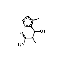 CC(C(N)=O)C(O)c1nccn1C